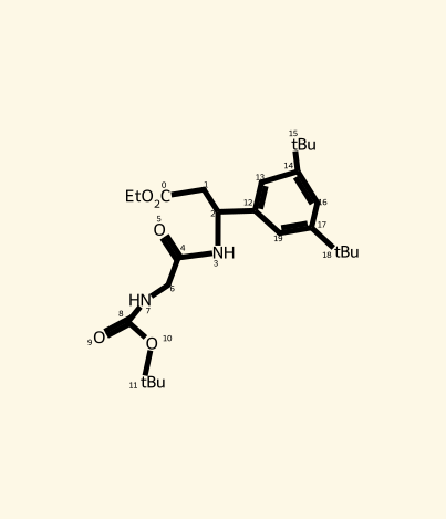 CCOC(=O)CC(NC(=O)CNC(=O)OC(C)(C)C)c1cc(C(C)(C)C)cc(C(C)(C)C)c1